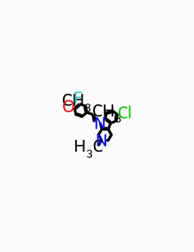 COc1ccc(C(C)=Cn2c3c(c4cc(Cl)ccc42)CCN(C)C3)cc1F